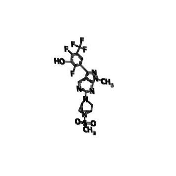 Cn1nc(-c2cc(C(F)(F)F)c(F)c(O)c2F)c2cnc(N3CC4CC3CN4S(C)(=O)=O)nc21